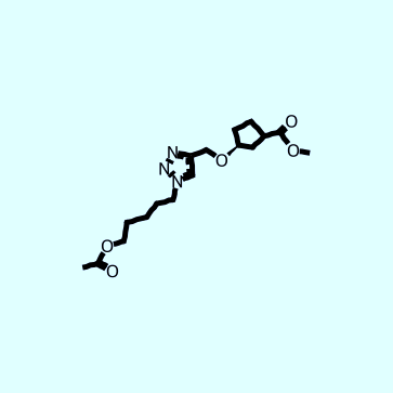 COC(=O)C1CC[C@H](OCc2cn(CCCCCOC(C)=O)nn2)C1